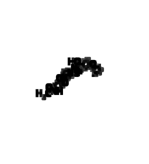 CC(=O)Nc1ccc(S(=O)(=O)N2CCCN(c3nc(C(O)c4ccc(Oc5ccccc5)cc4)ns3)CC2)cc1